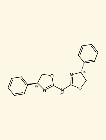 c1ccc([C@@H]2COC(NC3=N[C@@H](c4ccccc4)CO3)=N2)cc1